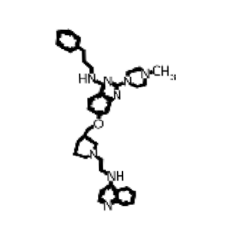 CN1CCN(c2nc(NCCCc3ccccc3)c3ccc(OCC4CCCN(CCNc5ccnc6ccccc56)C4)cc3n2)CC1